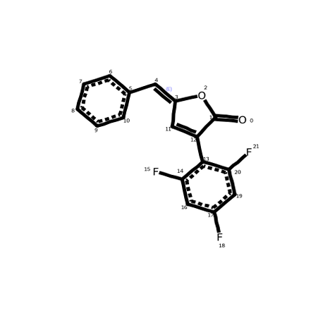 O=C1O/C(=C/c2ccccc2)C=C1c1c(F)cc(F)cc1F